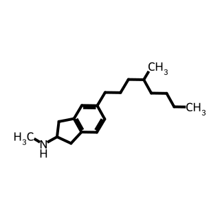 CCCCC(C)CCCc1ccc2c(c1)CC(NC)C2